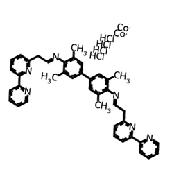 Cc1cc(-c2cc(C)c(N=CCc3cccc(-c4ccccn4)n3)c(C)c2)cc(C)c1N=CCc1cccc(-c2ccccn2)n1.Cl.Cl.Cl.Cl.[Co].[Co]